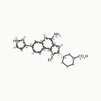 CCn1c([C@H]2CCCN(C(=O)O)C2)nc2c(N)nc3cc(-c4cc[nH]n4)ccc3c21